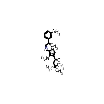 C=C(/C=N\c1[nH]cc(C(=O)CC(C)(C)C)c1N)c1cccc(N)c1